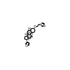 C[C@]12CC[C@H](OCCn3ccnc3)C[C@H]1CC[C@@H]1[C@@H]2CC[C@]2(C)[C@@H](c3ccoc3)CC[C@]12O